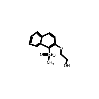 CS(=O)(=O)c1c(OCCO)ccc2ccccc12